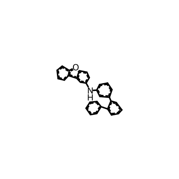 c1ccc(-c2ccccc2-c2cccc(Nc3ccc4oc5ccccc5c4c3)c2)cc1